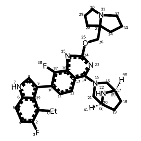 CCc1c(F)ccc2[nH]cc(-c3ccc4c(N5C[C@H]6CC[C@@H](C5)N6)nc(OCC56CCCN5CCC6)nc4c3F)c12